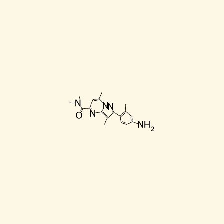 Cc1cc(N)ccc1-c1nn2c(C)cc(C(=O)N(C)C)nc2c1C